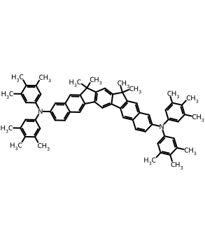 Cc1cc(N(c2cc(C)c(C)c(C)c2)c2ccc3cc4c(cc3c2)C(C)(C)c2cc3c(cc2-4)-c2cc4ccc(N(c5cc(C)c(C)c(C)c5)c5cc(C)c(C)c(C)c5)cc4cc2C3(C)C)cc(C)c1C